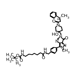 C[C@H](CC(=O)N1CCC(O)(Cn2cnc3c(-c4ccc(CNC(=O)CCCCCCNC(=O)OC(C)(C)C)cc4)n(C)nc3c2=O)CC1)c1ccccc1